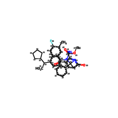 Cc1cc(C(=O)c2cc3c(=O)n(c2N)C3(c2ccccc2)N(C(=O)OC(C)(C)C)c2ccc(C(C(=O)O)C3CCCC3)cc2)ccc1F